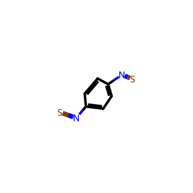 S=Nc1ccc(N=S)cc1